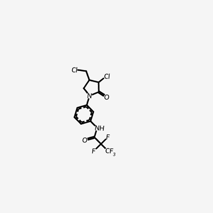 O=C1C(Cl)C(CCl)CN1c1cccc(NC(=O)C(F)(F)C(F)(F)F)c1